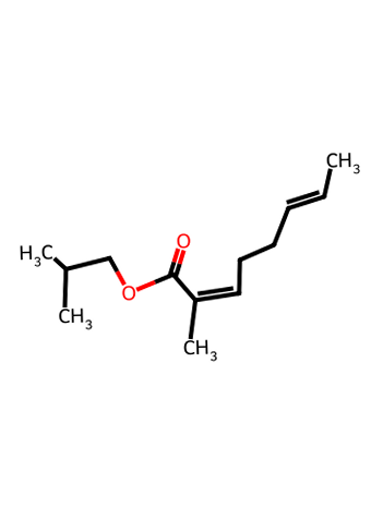 CC=CCCC=C(C)C(=O)OCC(C)C